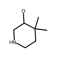 CC1(C)CCNCC1[O]